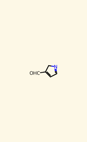 O=CC1=CC=NC1